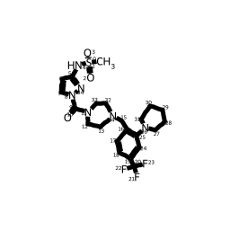 CS(=O)(=O)Nc1ccn(C(=O)N2CCN(Cc3ccc(C(F)(F)F)cc3N3CCCCC3)CC2)n1